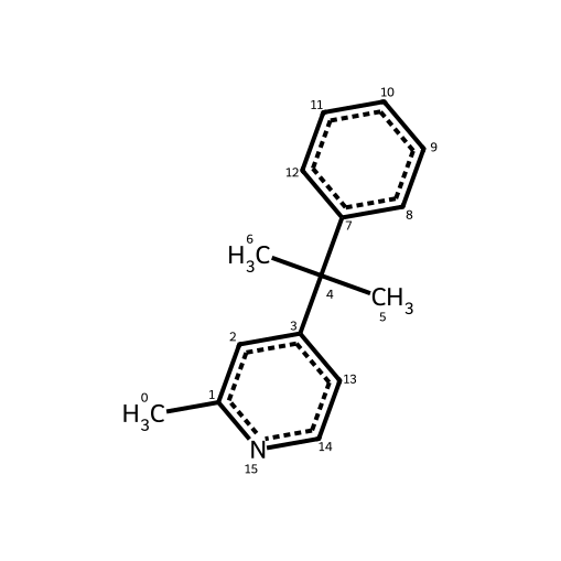 Cc1cc(C(C)(C)c2ccccc2)ccn1